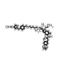 C=CCn1c(C(C)(C)COCCCCCOCc2ccc(Cn3cc(C=O)cn3)cc2)cc2cc(NC(=O)Cc3cc4c(cc3F)OC(F)(F)O4)c(F)cc21